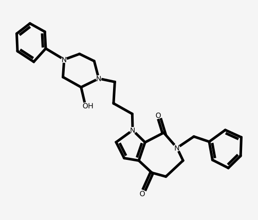 O=C1CCN(Cc2ccccc2)C(=O)c2c1ccn2CCCN1CCN(c2ccccc2)CC1O